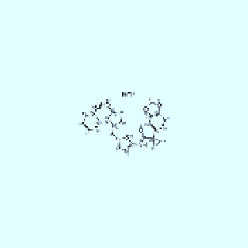 Cl.O=C(Nc1ncc(CN2CC[C@H](O)[C@H]2c2ccccc2Cl)s1)C1(c2ccc3c(c2)OCO3)CC1